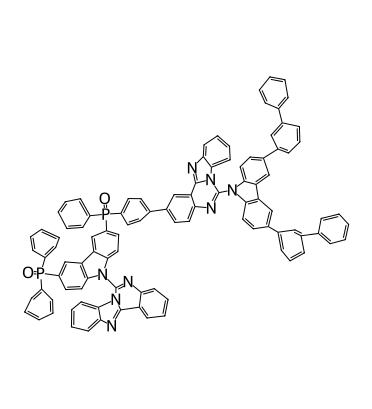 O=P(c1ccccc1)(c1ccccc1)c1ccc2c(c1)c1cc(P(=O)(c3ccccc3)c3ccc(-c4ccc5nc(-n6c7ccc(-c8cccc(-c9ccccc9)c8)cc7c7cc(-c8cccc(-c9ccccc9)c8)ccc76)n6c7ccccc7nc6c5c4)cc3)ccc1n2-c1nc2ccccc2c2nc3ccccc3n12